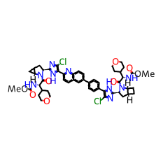 COC(=O)N[C@H](C(=O)N1[C@@H]2CC2C[C@H]1c1nc(Cl)c(-c2ccc3cc(-c4ccc(-c5[nH]c([C@@H]6C[C@H]7CC[C@H]7N6C(=O)[C@@H](NC(=O)OC)C6CCOCC6)nc5Cl)cc4)ccc3n2)[nH]1)C1CCOCC1